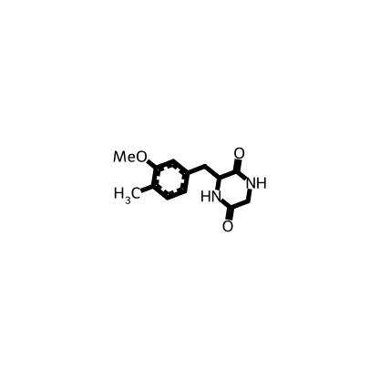 COc1cc(CC2NC(=O)CNC2=O)ccc1C